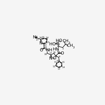 CC(C)CC(NC(=O)C1(Cc2ccccc2)CC(CNC(=O)c2cccc(C#N)n2)=NO1)B(O)O